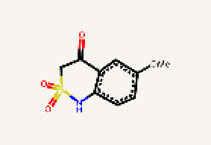 COc1ccc2c(c1)C(=O)CS(=O)(=O)N2